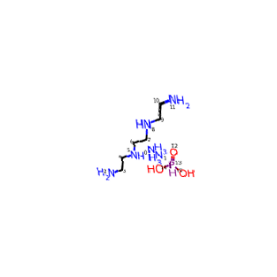 N.N.NCCNCCNCCN.O=[PH](O)O